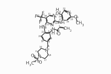 C=CC(=O)Nc1cc(CN2CCN(S(C)(=O)=O)CC2)ccc1Nc1nc(Nc2cc(OC)ncc2C)ncc1C(F)(F)F